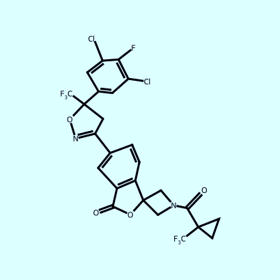 O=C1OC2(CN(C(=O)C3(C(F)(F)F)CC3)C2)c2ccc(C3=NOC(c4cc(Cl)c(F)c(Cl)c4)(C(F)(F)F)C3)cc21